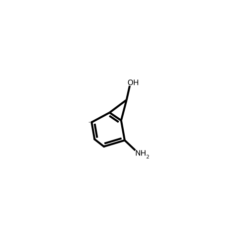 Nc1cc[c]c2c1C2O